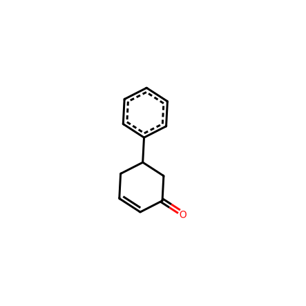 O=C1C=CCC(c2ccccc2)C1